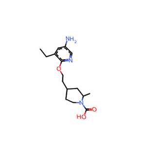 CCc1cc(N)cnc1OCCC1CCN(C(=O)O)C(C)C1